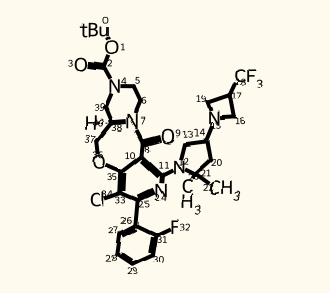 CC(C)(C)OC(=O)N1CCN2C(=O)c3c(N4CC(N5CC(C(F)(F)F)C5)CC4(C)C)nc(-c4ccccc4F)c(Cl)c3OC[C@H]2C1